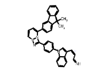 CC1(C)c2ccccc2-c2cc(-c3cccn4nc(-c5ccc(-n6cc(/C=C\C=N)c7ccccc76)cc5)n34)ccc21